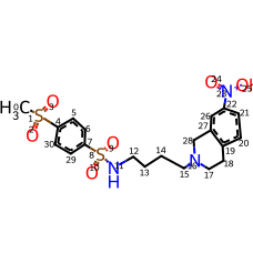 CS(=O)(=O)c1ccc(S(=O)(=O)NCCCCN2CCc3ccc([N+](=O)O)cc3C2)cc1